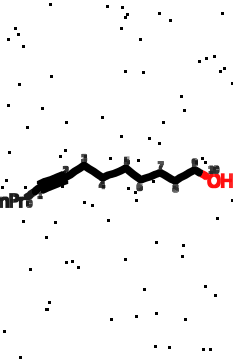 CCCC#CCCCCCCCO